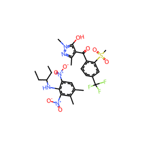 CCC(CC)Nc1c([N+](=O)[O-])cc(C)c(C)c1[N+](=O)[O-].Cc1nn(C)c(O)c1C(=O)c1ccc(C(F)(F)F)cc1S(C)(=O)=O